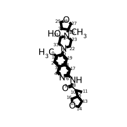 Cc1cc2cnc(NC(=O)[C@H]3C[C@@]34CCOC4)cc2cc1N1CCN([C@]2(C)COC[C@@H]2O)CC1